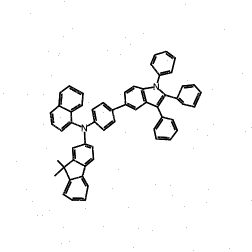 CC1(C)c2ccccc2-c2ccc(N(c3ccc(-c4ccc5c(c4)c(-c4ccccc4)c(-c4ccccc4)n5-c4ccccc4)cc3)c3cccc4ccccc34)cc21